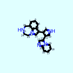 c1cc2c3c(c1)c(-c1c[nH]cc1-c1cnc4ccccn14)cn3CCNC2